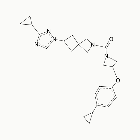 O=C(N1CC(Oc2ccc(C3CC3)cc2)C1)N1CC2(CC(n3cnc(C4CC4)n3)C2)C1